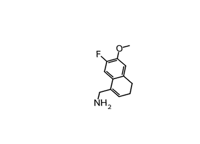 COc1cc2c(cc1F)C(CN)=CCC2